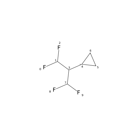 FC(F)C([C]1CC1)C(F)F